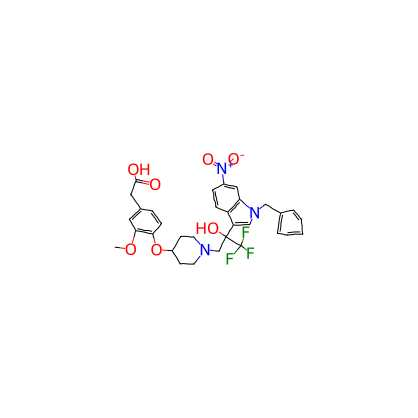 COc1cc(CC(=O)O)ccc1OC1CCN(CC(O)(c2cn(Cc3ccccc3)c3cc([N+](=O)[O-])ccc23)C(F)(F)F)CC1